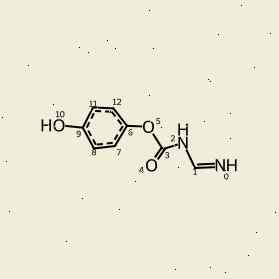 N=CNC(=O)Oc1ccc(O)cc1